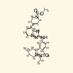 CCOC(=O)N1CC=C(c2cccn3nc(Nc4ccc(C(=O)N(CC)N5CCC(C)CC5)cc4)nc23)CC1